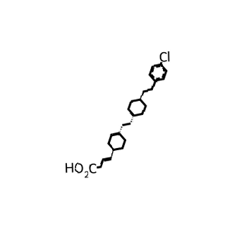 O=C(O)CC=C[C@H]1CC[C@H](CC[C@H]2CC[C@H](CCc3ccc(Cl)cc3)CC2)CC1